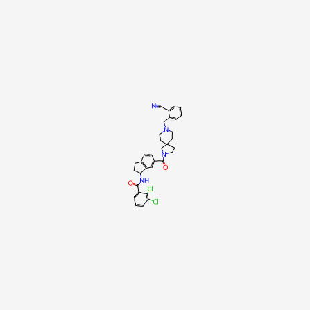 N#Cc1ccccc1CN1CCC2(CC1)CCN(C(=O)c1ccc3c(c1)C(NC(=O)c1cccc(Cl)c1Cl)CC3)C2